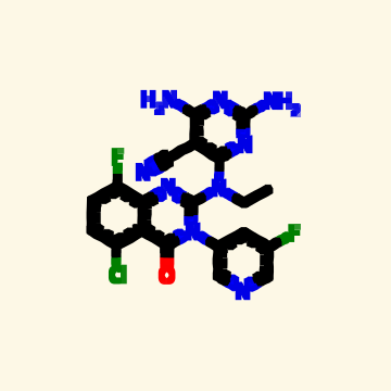 CCN(c1nc(N)nc(N)c1C#N)c1nc2c(F)ccc(Cl)c2c(=O)n1-c1cncc(F)c1